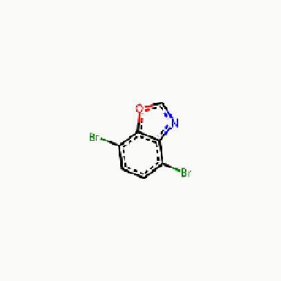 Brc1ccc(Br)c2ocnc12